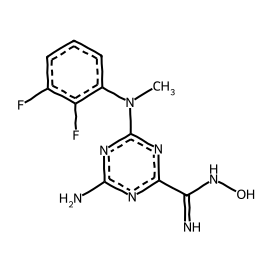 CN(c1nc(N)nc(C(=N)NO)n1)c1cccc(F)c1F